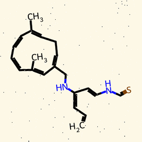 C=C/C=C(\C=C\NC=S)NCC1=CC/C=C(C)/C=C\C=C/C(C)=C/1